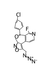 Cc1noc(CN=[N+]=[N-])c1-c1ccnc(F)c1C(=O)c1ccc(Cl)cc1